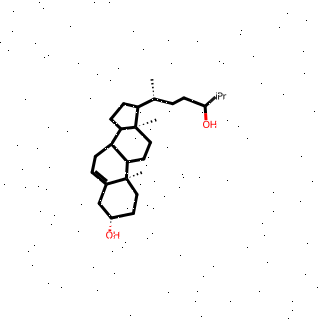 CC(C)C(O)CC[C@@H](C)C1CCC2C3CC=C4C[C@@H](O)CC[C@]4(C)C3CC[C@@]21C